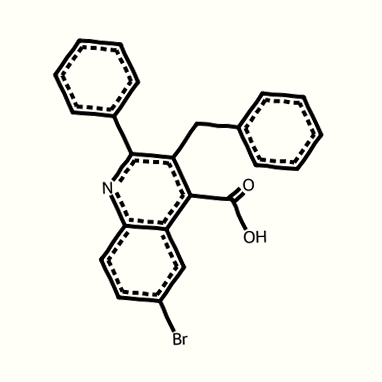 O=C(O)c1c(Cc2ccccc2)c(-c2ccccc2)nc2ccc(Br)cc12